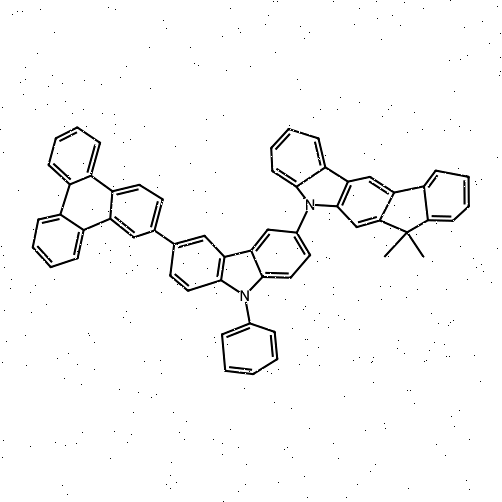 CC1(C)c2ccccc2-c2cc3c4ccccc4n(-c4ccc5c(c4)c4cc(-c6ccc7c8ccccc8c8ccccc8c7c6)ccc4n5-c4ccccc4)c3cc21